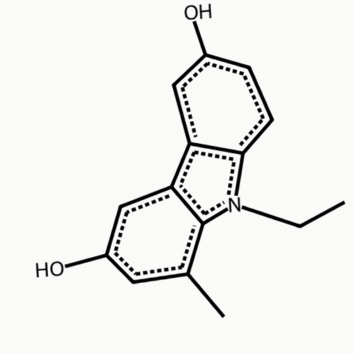 CCn1c2ccc(O)cc2c2cc(O)cc(C)c21